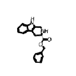 O=C(OCc1ccccc1)[C@@H]1Cc2c([nH]c3ccccc23)CN1